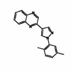 Cc1ccc(C)c(-n2cc(-c3cnc4ccccc4n3)cn2)c1